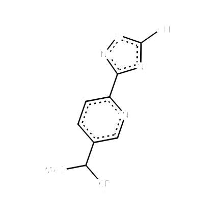 COC(c1ccc(-c2noc(C)n2)nc1)C(F)(F)F